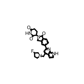 O=C1CCC(N2Cc3cc(-c4cc(CN5CCC(F)C5)c5cc[nH]c5n4)ccc3C2=O)C(=O)N1